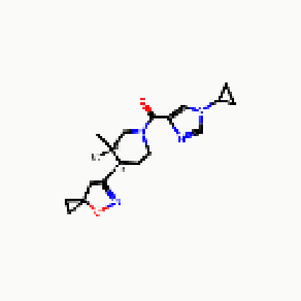 CC[C@@]1(C)CN(C(=O)c2cn(C3CC3)cn2)CC[C@H]1C1=NOC2(CC2)C1